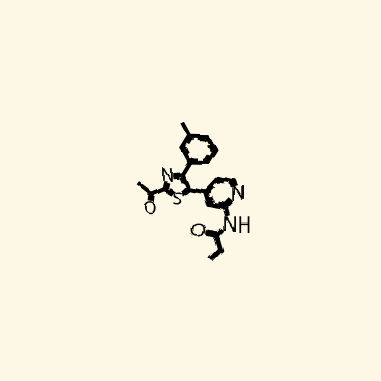 CCC(=O)Nc1cc(-c2sc(C(C)=O)nc2-c2cccc(C)c2)ccn1